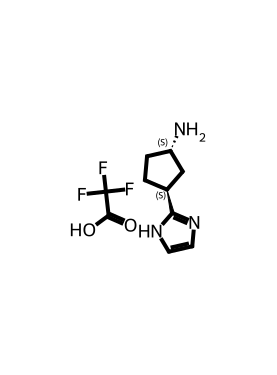 N[C@H]1CC[C@H](c2ncc[nH]2)C1.O=C(O)C(F)(F)F